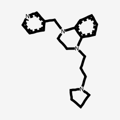 c1cncc(CN2CCN(CCCN3CCCC3)c3ccccc32)c1